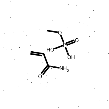 C=CC(N)=O.COP(=O)(O)O